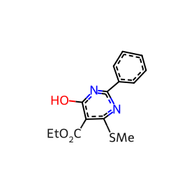 CCOC(=O)c1c(O)nc(-c2ccccc2)nc1SC